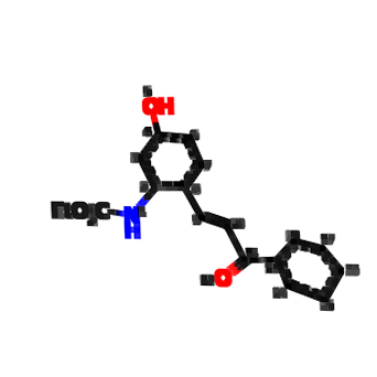 CCOC(=O)Nc1cc(O)ccc1C=CC(=O)c1ccccc1